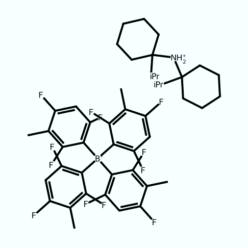 CC(C)C1([NH2+]C2(C(C)C)CCCCC2)CCCCC1.Cc1c(F)cc(F)c([B-](c2c(F)cc(F)c(C)c2F)(c2c(F)cc(F)c(C)c2F)c2c(F)cc(F)c(C)c2F)c1F